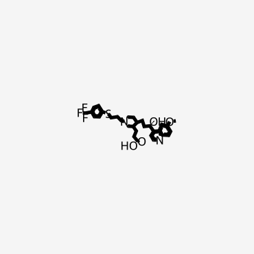 COc1ccc2nccc([C@@H](O)CCC3CCN(CCCSc4ccc(C(F)(F)F)cc4)CC3CCC(=O)O)c2c1